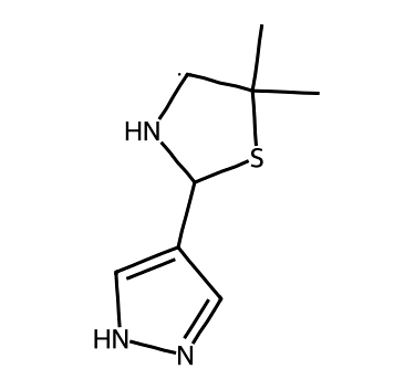 CC1(C)[CH]NC(c2cn[nH]c2)S1